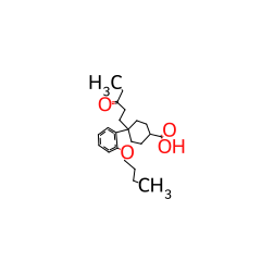 CCCCOc1ccccc1C1(CCC(=O)CC)CCC(C(=O)O)CC1